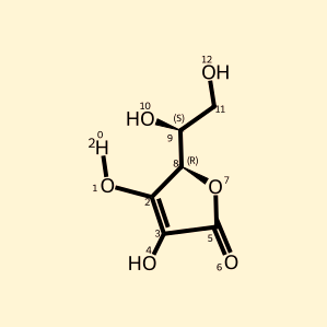 [2H]OC1=C(O)C(=O)O[C@@H]1[C@@H](O)CO